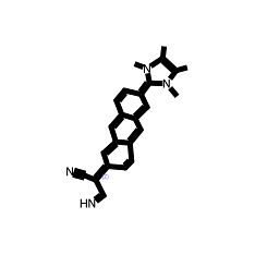 CC1=C(C)N(C)C(=c2ccc3cc4c/c(=C(\C#N)C=N)ccc4cc3c2)N1C